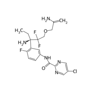 C=C(N)COCC(F)(F)[C@@](N)(CC)c1cc(NC(=O)c2ncc(Cl)cn2)ccc1F